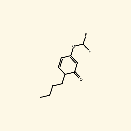 CCCCC1C=CC(OC(F)F)=CC1=O